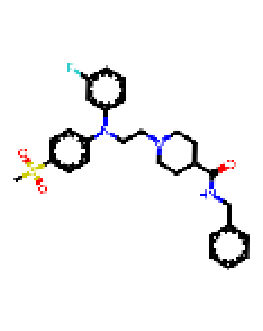 CS(=O)(=O)c1ccc(N(CCN2CCC(C(=O)NCc3ccccc3)CC2)c2cccc(F)c2)cc1